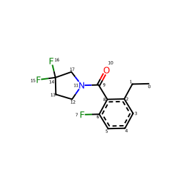 CCc1cccc(F)c1C(=O)N1CCC(F)(F)C1